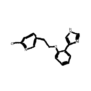 Clc1ccc(CCOc2ccccc2-c2c[nH]cn2)cn1